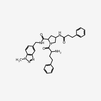 Cn1nnc2cc(CNC(=O)C3CC(NC(=O)CCc4ccccc4)CN3C(=O)C(N)CCc3ccccc3)ccc21